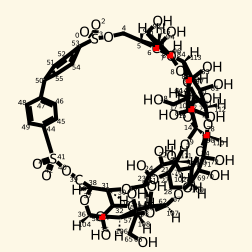 O=S1(=O)OC[C@H]2C[C@@H]3O[C@H]4C(O)C(O)[C@@H](O[C@@H]4CO)O[C@H]4C(O)C(O)[C@H](O[C@@H]4CO)O[C@H]4C(O)C(O)[C@H](O[C@@H]4COS(=O)(=O)c4ccc(cc4)-c4ccc1cc4)O[C@H]1C(O)C(O)[C@H](O[C@@H]1CO)O[C@H]1C(O)C(O)[C@H](O[C@@H]1CO)O[C@H]1C(O)C(O)[C@H](O[C@@H]1CO)O[C@H]2C(O)C3O